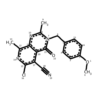 COc1ccc(Cn2c(C)nc3c(C)nc(Cl)c(C#N)c3c2=O)cc1